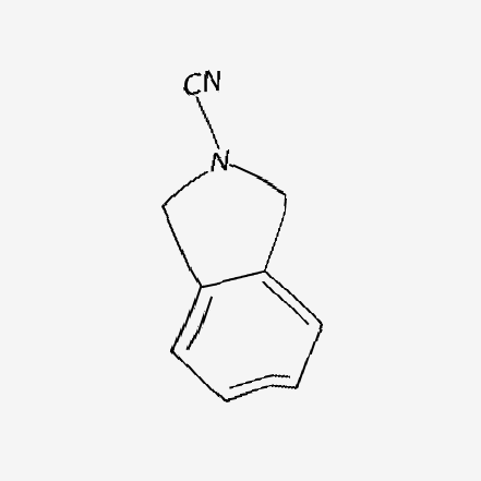 N#CN1Cc2ccccc2C1